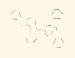 C1=CC2c3c(ccc4c3oc3ccccc34)N(c3nc(-c4ccccc4)nc(-c4ccccc4)n3)C2C=C1